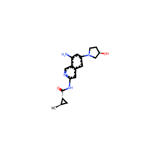 N#C[C@@H]1C[C@H]1C(=O)Nc1cc2cc(N3CC[C@@H](O)C3)cc(N)c2cn1